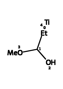 CCC(O)OC.[Ti]